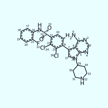 Nc1ncnc2c1c(-c1ccc(S(=O)(=O)Nc3ccccc3F)c(Cl)c1Cl)cn2C1CCNCC1